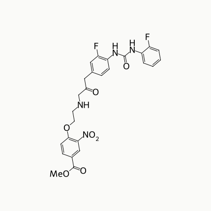 COC(=O)c1ccc(OCCNCC(=O)Cc2ccc(NC(=O)Nc3ccccc3F)c(F)c2)c([N+](=O)[O-])c1